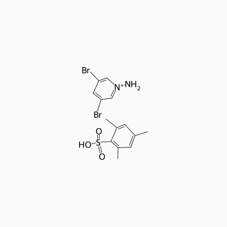 Cc1cc(C)c(S(=O)(=O)O)c(C)c1.N[n+]1cc(Br)cc(Br)c1